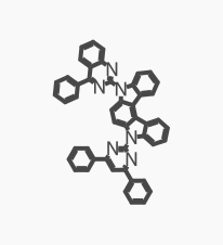 c1ccc(-c2cc(-c3ccccc3)nc(-n3c4ccccc4c4c5c6ccccc6n(-c6nc(-c7ccccc7)c7ccccc7n6)c5ccc43)n2)cc1